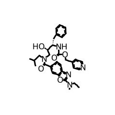 CCN(C)c1nc2ccc(C(=O)N(CC(C)C)C[C@@H](O)[C@H](Cc3ccccc3)NC(=O)OCc3ccncc3)cc2o1